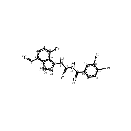 O=Cc1ccc(F)c2c(NC(=S)NC(=O)c3ccc(F)c(F)c3)n[nH]c12